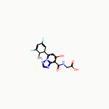 CC1C(F)=CC(F)=CC1c1cc(O)c(C(=O)NCC(=O)O)c2ncnn12